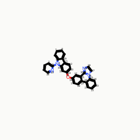 c1ccc(-n2c3ccccc3c3ccc(Oc4ccc5c6ccccc6n6ccnc6c5c4)cc32)nc1